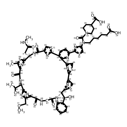 CNC(=O)C[C@@H]1NC(=O)c2csc(n2)-c2ccc(-c3nc(N(CCCCCC(=O)O)C(=O)N4CCC(C(=O)O)CC4)cs3)nc2-c2csc(n2)-c2csc(n2)[C@H]([C@@H](O)c2ccccc2)NC(=O)CNC(=O)c2nc(sc2COC)C(C(C)C)NC(=O)c2nc1sc2C